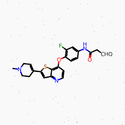 CN1CC=C(c2cc3nccc(Oc4ccc(NC(=O)CC=O)cc4F)c3s2)CC1